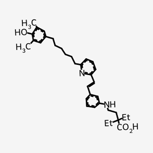 CCC(CC)(CCNc1cccc(C=Cc2cccc(CCCCCCc3cc(C)c(O)c(C)c3)n2)c1)C(=O)O